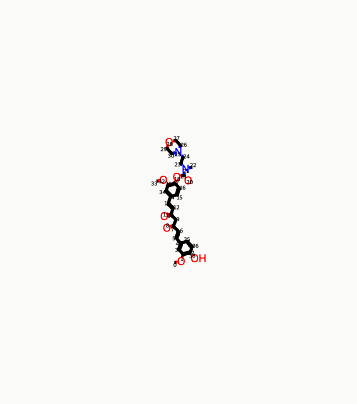 COc1cc(C=CC(=O)CC(=O)C=Cc2ccc(OC(=O)N(C)CCN3CCOCC3)c(OC)c2)ccc1O